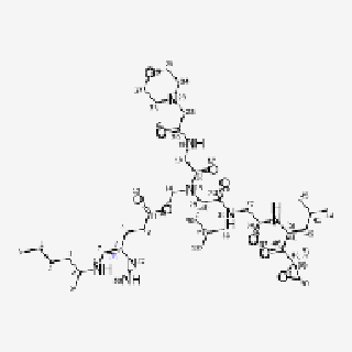 CCCCC(C)N/C=C(/CCC(=O)OCN(C(=O)CNC(=O)CN1CCOCC1)[C@@H](CC(C)C)C(=O)NCC(=O)N[C@@H](CC(C)C)C(=O)[C@@]1(C)CO1)N=N